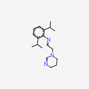 CC(C)c1cccc(C(C)C)c1N=CCN1C=NCCC1